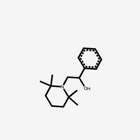 CC1(C)CCCC(C)(C)N1CC(O)c1ccccc1